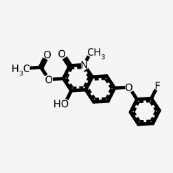 CC(=O)Oc1c(O)c2ccc(Oc3ccccc3F)cc2n(C)c1=O